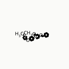 CC(C)N1CC[C@@H](Oc2ccc(-n3ccc(OCc4ccccc4)cc3=O)cc2)C1